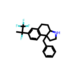 CC(F)(c1ccc2c(c1)CCC1NCCC21Cc1ccccc1)C(F)(F)F